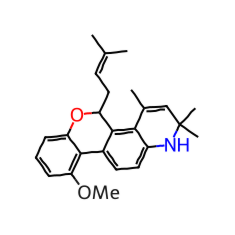 COc1cccc2c1-c1ccc3c(c1C(CC=C(C)C)O2)C(C)=CC(C)(C)N3